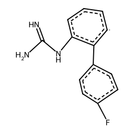 N=C(N)Nc1ccc[c]c1-c1ccc(F)cc1